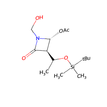 CC(=O)O[C@@H]1[C@@H](C(C)O[Si](C)(C)C(C)(C)C)C(=O)N1CO